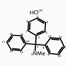 CNC(c1ccccc1)(c1ccccc1)c1ccccc1.Cl